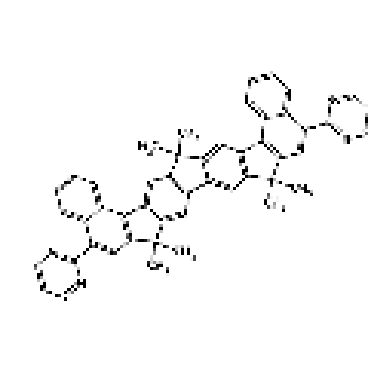 CC1(C)c2cc3c(cc2-c2cc4c(cc21)-c1c(cc(-c2ncccn2)c2ccccc12)C4(C)C)C(C)(C)c1cc(-c2ncccn2)c2ccccc2c1-3